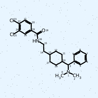 CN(C)C(c1ccccc1)C1CCC(CCNC(=O)c2ccc(Cl)c(Cl)c2)CC1